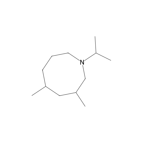 CC1CCCN(C(C)C)CC(C)C1